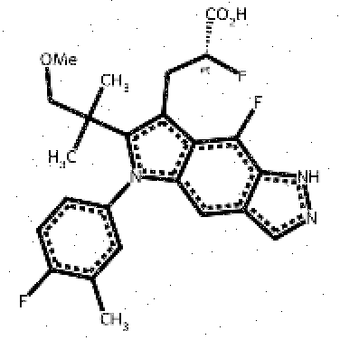 COCC(C)(C)c1c(C[C@@H](F)C(=O)O)c2c(F)c3[nH]ncc3cc2n1-c1ccc(F)c(C)c1